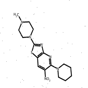 CN1CCN(c2nc3nc(N4CCCCC4)c([N+](=O)[O-])cc3s2)CC1